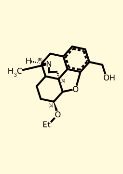 CCO[C@H]1CCC2[C@H]3Cc4ccc(CO)c5c4[C@@]2(CCN3C)C1O5